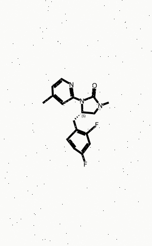 Cc1ccnc(N2C(=O)N(C)C[C@@H]2Cc2ccc(F)cc2F)c1